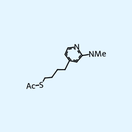 [CH]Nc1cc(CCCCSC(C)=O)ccn1